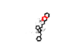 CCOC(=O)C1(N)CCCC1(C(=O)C(N)Cc1ccccc1)C(=O)C(Cc1ccccc1)NC(=O)OCc1ccccc1